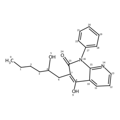 CCCCC(O)Cc1c(O)c2cccnc2n(-c2ccccc2)c1=O